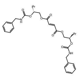 CC(C)[C@H](COC(=O)/C=C/C(=O)OC[C@H](OC(=O)NCc1ccccc1)C(C)C)OC(=O)NCc1ccccc1